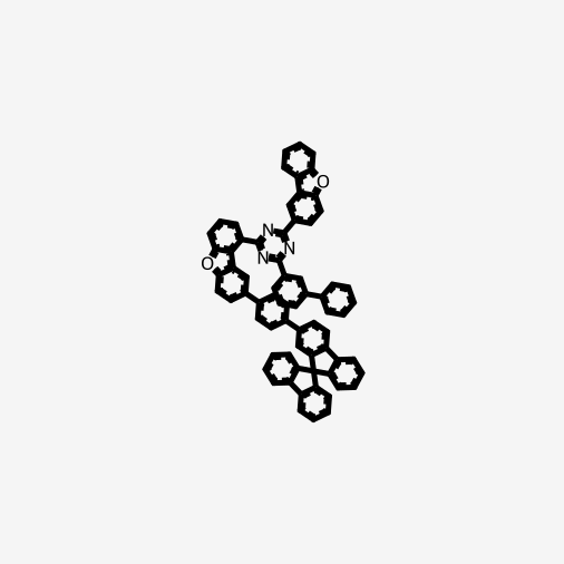 c1ccc(-c2cccc(-c3nc(-c4ccc5oc6ccccc6c5c4)nc(-c4cccc5oc6ccc(-c7ccc(-c8ccc9c(c8)C8(c%10ccccc%10-c%10ccccc%108)c8ccccc8-9)cc7)cc6c45)n3)c2)cc1